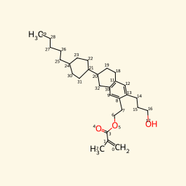 C=C(C)C(=O)OCCc1cc2c(cc1CCCO)CCC(C1CCC(CCCCC)CC1)C2